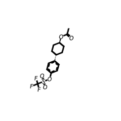 CC(=O)O[C@H]1CC[C@H](c2ccc(OS(=O)(=O)C(F)(F)F)cc2)CC1